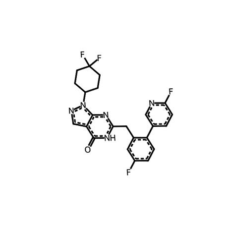 O=c1[nH]c(Cc2cc(F)ccc2-c2ccc(F)nc2)nc2c1cnn2C1CCC(F)(F)CC1